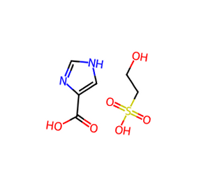 O=C(O)c1c[nH]cn1.O=S(=O)(O)CCO